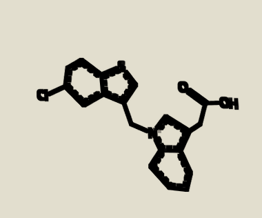 O=C(O)Cc1cn(Cc2csc3ccc(Cl)cc23)c2ccccc12